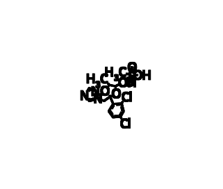 CC1OC(Cn2cncn2)(c2ccc(Cl)cc2Cl)OC1O.CS(=O)(=O)O